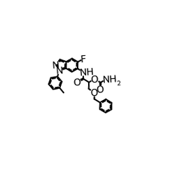 Cc1cccc(-n2ncc3cc(F)c(NC(=O)C(COCc4ccccc4)OC(N)=O)cc32)c1